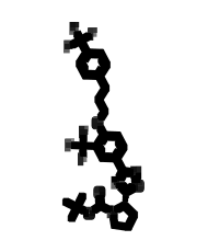 CC(C)(C)OC(=O)N1CCC[C@H]1c1nc(-c2ccc(OCCCc3ccc(C(F)(F)F)cc3)c(C(F)(F)F)c2)no1